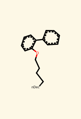 CCCCCCCCCCCCCCOc1ccccc1-c1ccccc1